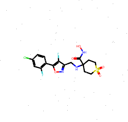 O=C(NO)C1(NCc2noc(-c3ccc(Cl)cc3F)c2F)CCS(=O)(=O)CC1